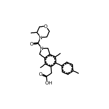 Cc1ccc(-c2c(C)c3c(c(C)c2CC(=O)O)CN(C(=O)N2CCOCC2C)C3)cc1